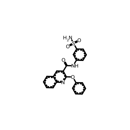 NS(=O)(=O)c1cccc(NC(=O)c2cc3ccccc3nc2Oc2ccccc2)c1